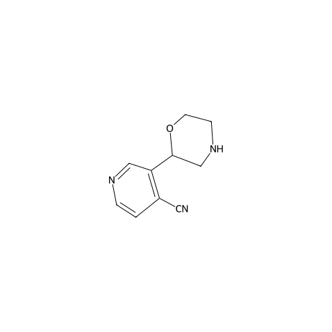 N#Cc1ccncc1C1CNCCO1